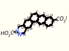 O=C(O)c1ccc2cc3c(ccc4cc5c(cc43)C=NN(C(=O)O)C5)cc2c1